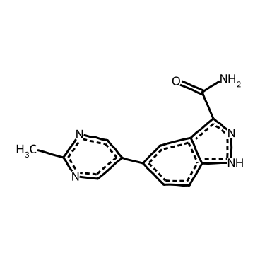 Cc1ncc(-c2ccc3[nH]nc(C(N)=O)c3c2)cn1